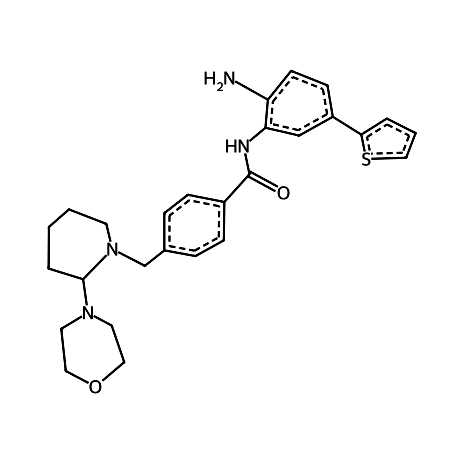 Nc1ccc(-c2cccs2)cc1NC(=O)c1ccc(CN2CCCCC2N2CCOCC2)cc1